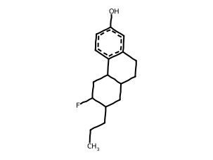 CCCC1CC2CCc3cc(O)ccc3C2CC1F